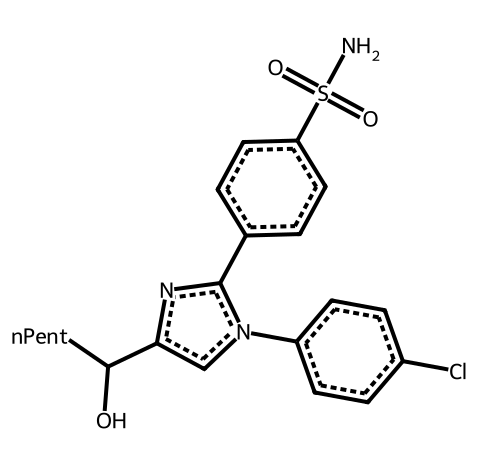 CCCCCC(O)c1cn(-c2ccc(Cl)cc2)c(-c2ccc(S(N)(=O)=O)cc2)n1